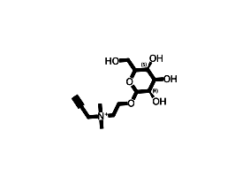 C#CC[N+](C)(C)CCOC1OC(CO)[C@@H](O)C(O)[C@H]1O